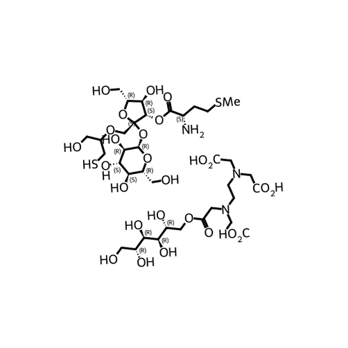 CSCC[C@H](N)C(=O)O[C@H]1[C@H](O)[C@@H](CO)O[C@@]1(COC(CO)CS)O[C@H]1O[C@H](CO)[C@@H](O)[C@H](O)[C@H]1O.O=C(O)CN(CCN(CC(=O)O)CC(=O)OC[C@@H](O)[C@@H](O)[C@H](O)[C@H](O)CO)CC(=O)O